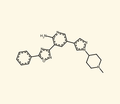 CN1CCC(n2cc(-c3cnc(N)c(-c4noc(-c5ccccc5)n4)c3)cn2)CC1